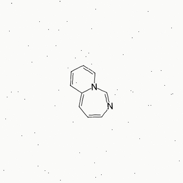 C1=CN=CN2C=CC=CC2=C1